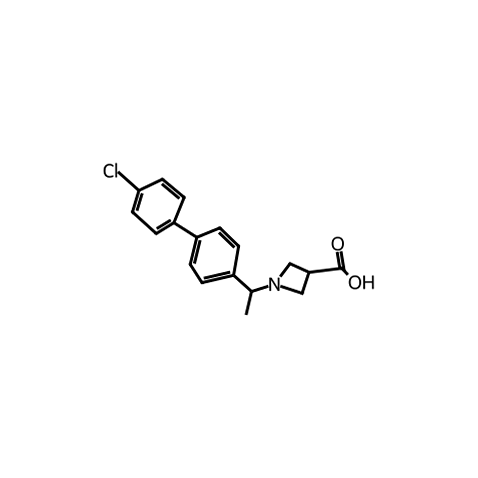 CC(c1ccc(-c2ccc(Cl)cc2)cc1)N1CC(C(=O)O)C1